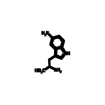 Nc1ccc2[nH]cc(CC(N)C(=O)O)c2c1